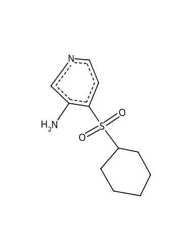 Nc1cnccc1S(=O)(=O)C1CCCCC1